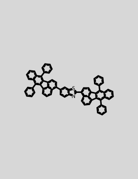 c1ccc(-c2c3c(c(-c4ccccc4)c4ccccc24)-c2ccc(-c4ccc5nc(-c6ccc7c8c(cccc68)-c6c-7c(-c7ccccc7)c7ccccc7c6-c6ccccc6)sc5c4)c4cccc-3c24)cc1